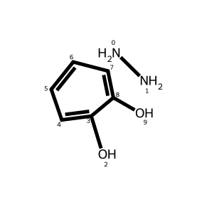 NN.Oc1ccccc1O